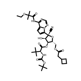 CCOC(C)(C)C(=O)Nc1ncnn2c([C@]3(C#N)O[C@H](COC(=O)CC4CCC4)[C@@H](OC(=O)[C@@H](NC(=O)OC(C)(C)C)C(C)(C)C)[C@H]3O)ccc12